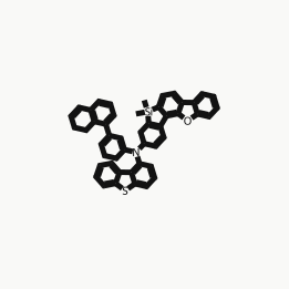 C[Si]1(C)C2=C(C=CC(N(C3=CC(c4cccc5c4CCC=C5)=CCC3)c3cccc4sc5ccccc5c34)C2)c2c1ccc1c2oc2ccccc21